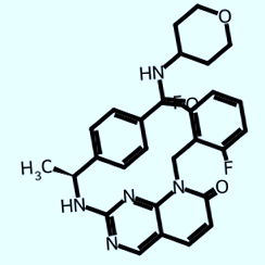 C[C@H](Nc1ncc2ccc(=O)n(Cc3c(F)cccc3F)c2n1)c1ccc(C(=O)NC2CCOCC2)cc1